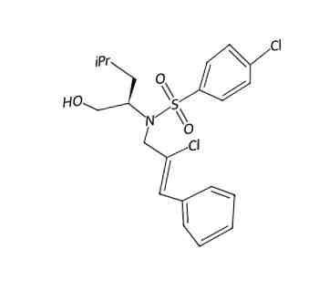 CC(C)C[C@H](CO)N(CC(Cl)=Cc1ccccc1)S(=O)(=O)c1ccc(Cl)cc1